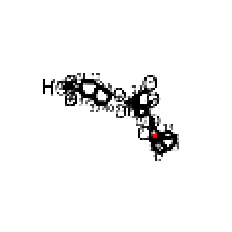 O=C1Oc2c(OC(=O)C34CC5CC(C3)C(=O)C(C5)C4)c3oc2c1c3C(=O)OC1=CC2C=CC(S(=O)(=O)O)=CC2C=C1